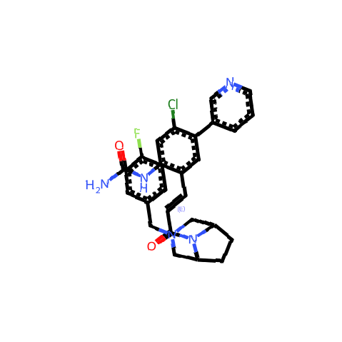 NC(=O)Nc1cc(Cl)c(-c2cccnc2)cc1/C=C/C(=O)N1C2CCC1CN(Cc1ccc(F)cc1)C2